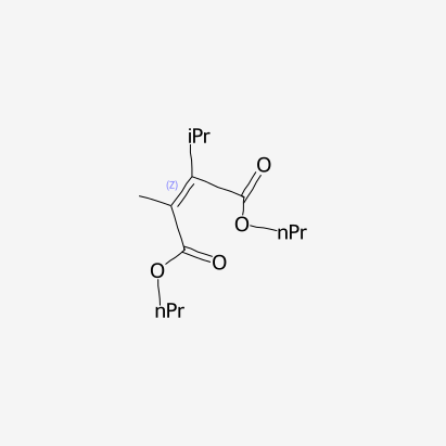 CCCOC(=O)/C(C)=C(\C(=O)OCCC)C(C)C